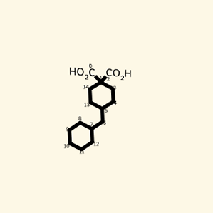 O=C(O)C1(C(=O)O)CCC(CC2CCCCC2)CC1